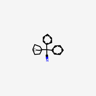 N#CC(c1ccccc1)(c1ccccc1)C12CCC(CC1)CC2